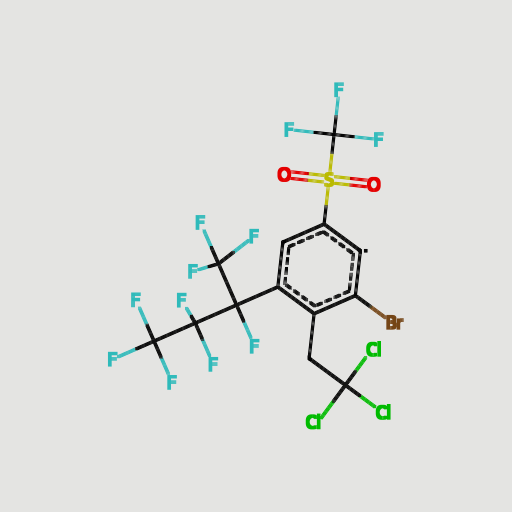 O=S(=O)(c1[c]c(Br)c(CC(Cl)(Cl)Cl)c(C(F)(C(F)(F)F)C(F)(F)C(F)(F)F)c1)C(F)(F)F